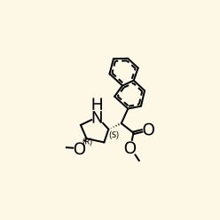 COC(=O)C(c1ccc2ccccc2c1)[C@@H]1C[C@@H](OC)CN1